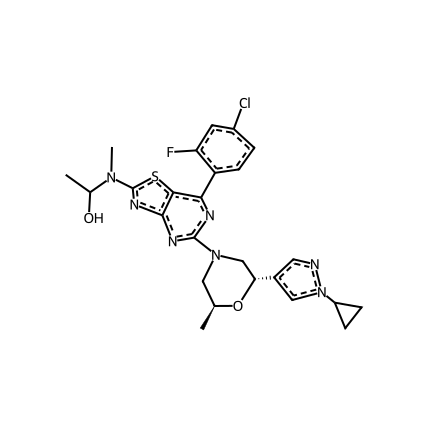 CC(O)N(C)c1nc2nc(N3C[C@H](C)O[C@@H](c4cnn(C5CC5)c4)C3)nc(-c3ccc(Cl)cc3F)c2s1